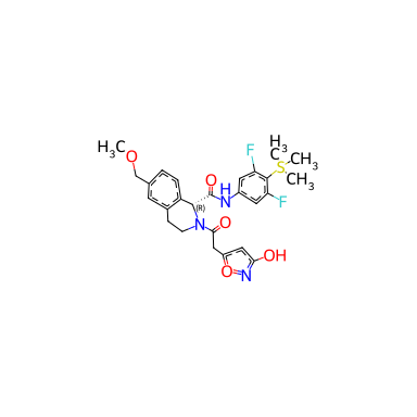 COCc1ccc2c(c1)CCN(C(=O)Cc1cc(O)no1)[C@H]2C(=O)Nc1cc(F)c(S(C)(C)C)c(F)c1